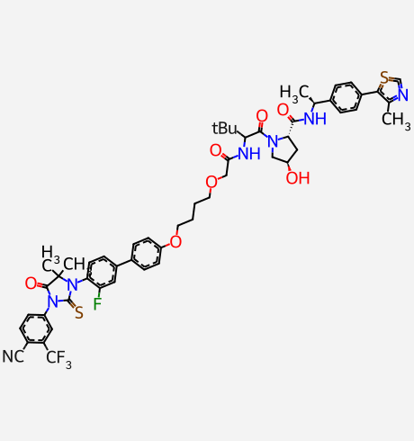 Cc1ncsc1-c1ccc([C@H](C)NC(=O)[C@@H]2C[C@@H](O)CN2C(=O)C(NC(=O)COCCCCOc2ccc(-c3ccc(N4C(=S)N(c5ccc(C#N)c(C(F)(F)F)c5)C(=O)C4(C)C)c(F)c3)cc2)C(C)(C)C)cc1